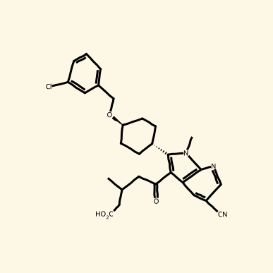 CC(CC(=O)O)CC(=O)c1c2cc(C#N)cnc2n(C)c1[C@H]1CC[C@H](OCc2cccc(Cl)c2)CC1